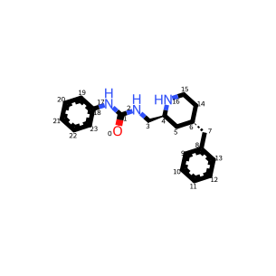 O=C(NC[C@@H]1C[C@@H](Cc2ccccc2)CCN1)Nc1ccccc1